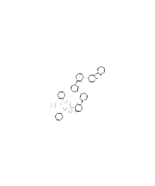 NC(NC(NCc1ccccc1)c1cccc2c1oc1c(-c3cccc4c3sc3c(-c5ccc6sc7ccccc7c6c5)cccc34)cccc12)c1ccccc1